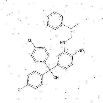 CC(CNc1cc(C(O)(c2ccc(Cl)cc2)c2ccc(Cl)cc2)ccc1[N+](=O)[O-])c1ccccc1